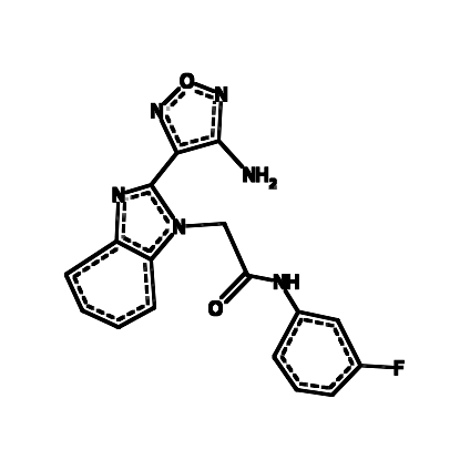 Nc1nonc1-c1nc2ccccc2n1CC(=O)Nc1cccc(F)c1